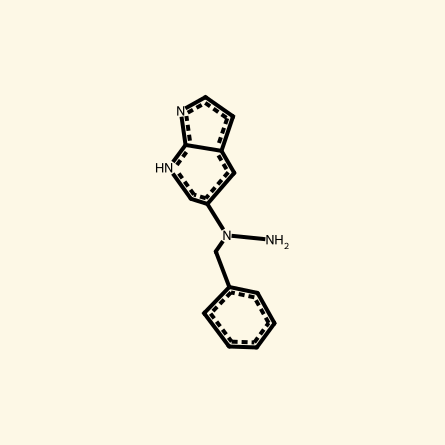 NN(Cc1ccccc1)c1c[nH]c2nccc-2c1